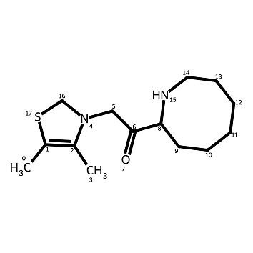 CC1=C(C)N(CC(=O)C2CCCCCCN2)CS1